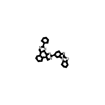 c1ccc(-c2ncc3c4ccccc4c4cnc(-c5ccc6nc7oc8ccccc8n7c6c5)nc4c3n2)cc1